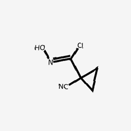 N#CC1(/C(Cl)=N/O)CC1